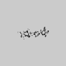 CCC(N)c1cc(F)c(OCC2COC(c3cc(F)c(F)c(F)c3)OC2)c(F)c1